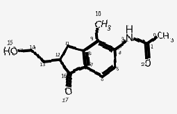 CC(=O)Nc1ccc2c(c1C)CC(CCO)C2=O